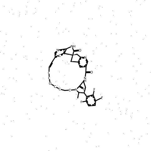 CC1C(c2c(F)ccc(F)c2F)CC2NC(=O)c3cnc4c(c3)C[C@@]3(C4)C(=O)Nc4ncc(cc43)/C=C/CCOCCCCN1C2=O